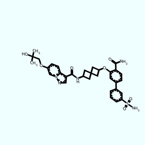 CC(C)(O)COc1ccc2c(C(=O)NC3CC4(C3)CC(Oc3cc(-c5cccc(S(N)(=O)=O)c5)ccc3C(N)=O)C4)cnn2c1